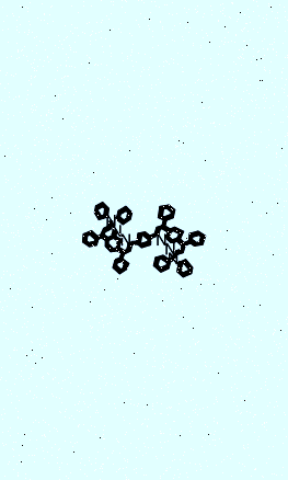 c1ccc(-c2cc(-c3ccc(-c4cc(-c5ccccc5)c5ccc6c(-c7ccccc7)cc(N(c7ccccc7)c7ccccc7)nc6c5n4)cc3)nc3c2ccc2c(-c4ccccc4)cc(N(c4ccccc4)c4ccccc4)nc23)cc1